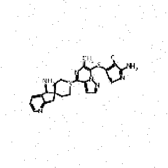 Cc1nc(N2CCC3(CC2)Cc2ncccc2C3N)c2ccnn2c1Sc1ccnc(N)c1Cl